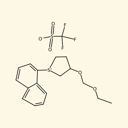 CCOCOC1CC[S+](c2cccc3ccccc23)C1.O=S(=O)([O-])C(F)(F)F